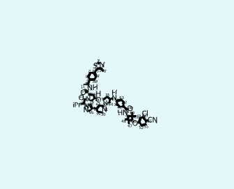 Cc1ncsc1-c1ccc([C@H](C)NC(=O)[C@@H]2C[C@@H](O)CN2C(=O)C(C(C)C)n2cc(-c3ccnc(N4CCC(Nc5ccc(C(=O)NC6C(C)(C)C(Oc7ccc(C#N)c(Cl)c7)C6(C)C)cc5)C4)c3)cn2)cc1